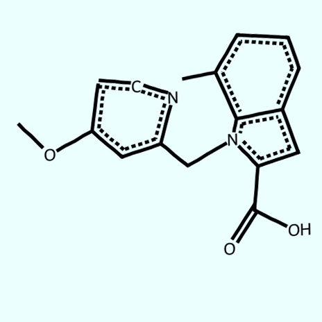 COc1ccnc(Cn2c(C(=O)O)cc3cccc(C)c32)c1